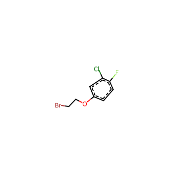 Fc1ccc(OCCBr)cc1Cl